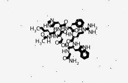 CCCC[C@H](NC(C)=O)C(=O)N[C@@H](CC(=O)O)C(=O)N[C@@H](Cc1c[nH]cn1)C(=O)N[C@H](Cc1ccccc1)C(=O)N[C@@H](CCCNC(=N)N)C(=O)N[C@@H](Cc1c[nH]c2ccccc12)C(=O)NCC(N)=O